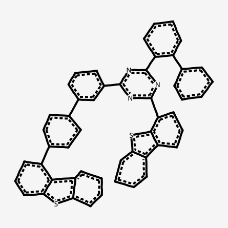 c1ccc(-c2ccccc2-c2nc(-c3cccc(-c4ccc(-c5cccc6sc7ccccc7c56)cc4)c3)nc(-c3cccc4c3sc3ccccc34)n2)cc1